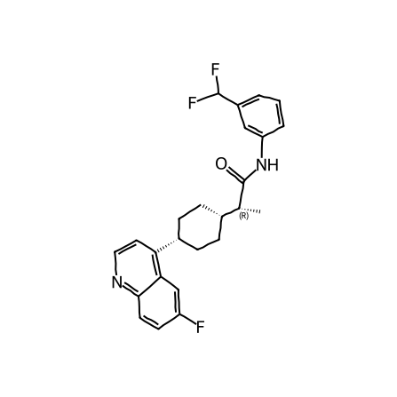 C[C@@H](C(=O)Nc1cccc(C(F)F)c1)[C@H]1CC[C@@H](c2ccnc3ccc(F)cc32)CC1